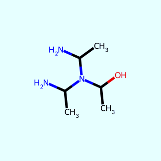 CC(N)N(C(C)N)C(C)O